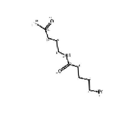 CC(C)CCCCC(=O)NCCCC(=O)C(C)C